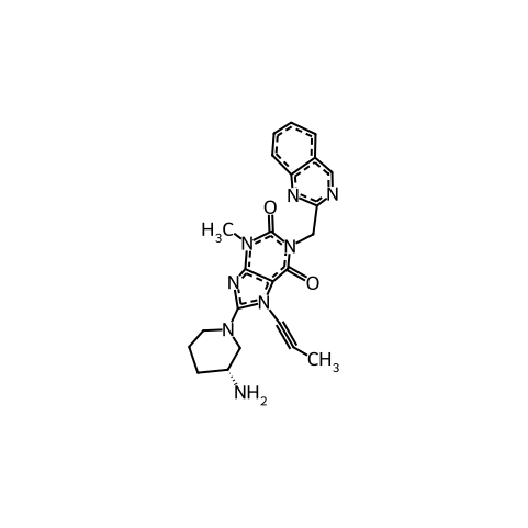 CC#Cn1c(N2CCC[C@@H](N)C2)nc2c1c(=O)n(Cc1ncc3ccccc3n1)c(=O)n2C